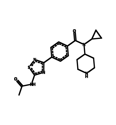 CC(=O)Nc1nc(-c2ccc(C(=O)N(C3CCNCC3)C3CC3)cc2)ns1